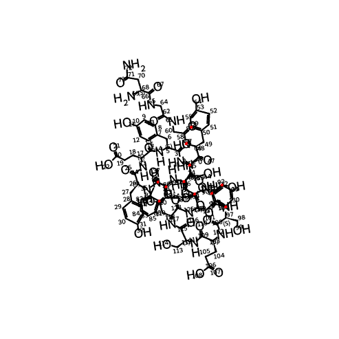 C[C@H](NC(=O)[C@H](Cc1ccc(O)cc1)NC(=O)[C@H](CCC(=O)O)NC(=O)[C@H](Cc1ccc(O)cc1)NC(=O)CNC(=O)[C@H](CO)NC(=O)[C@H](Cc1ccc(O)cc1)NC(=O)CNC(=O)CNC(=O)[C@@H](N)CC(N)=O)C(=O)N[C@@H](Cc1c[nH]c2ccccc12)C(=O)N[C@@H](CO)C(=O)N[C@@H](CO)C(=O)N[C@@H](CCC(=O)O)C(=O)N[C@@H](CO)C(=O)N[C@@H](CC(=O)O)C(=O)N[C@@H](Cc1ccccc1)C(=O)O